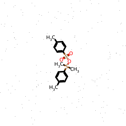 Cc1ccc(S(C)(C)OS(=O)(=O)c2ccc(C)cc2)cc1